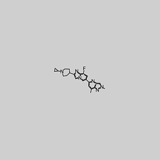 Cc1cc(-c2cc(F)c3nc(C4CCN(C5CC5)CC4)cn3c2)nc2cn(C)nc12